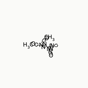 COc1ccc(CN(Cc2ccc(OC)cc2)c2ncc(-c3nc(N4CCOCC4)nc4c3CCN4c3ccccc3)cn2)cc1